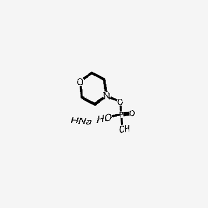 O=P(O)(O)ON1CCOCC1.[NaH]